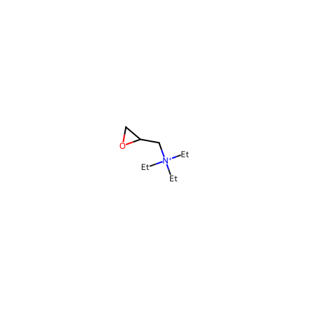 CC[N+](CC)(CC)CC1CO1